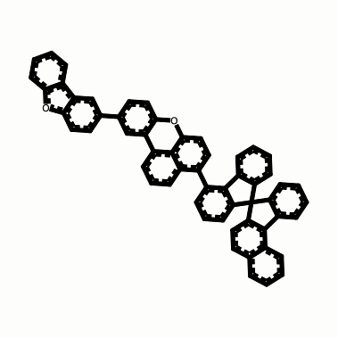 c1ccc2c(c1)-c1c(-c3ccc4c5c(cccc35)-c3cc(-c5ccc6oc7ccccc7c6c5)ccc3O4)cccc1C21c2ccccc2-c2c1ccc1ccccc21